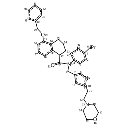 CC(C)c1ccc(N(Cc2cnn(CCN3CCOCC3)c2)C(=O)C2CCCc3c(OCc4ccccc4)cccc32)cn1